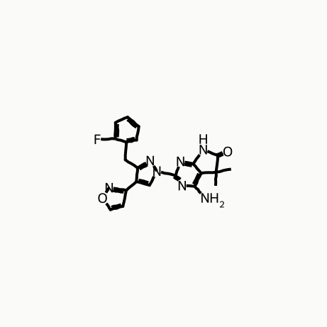 CC1(C)C(=O)Nc2nc(-n3cc(-c4ccon4)c(Cc4ccccc4F)n3)nc(N)c21